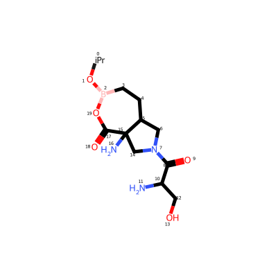 CC(C)OB1CCC2CN(C(=O)C(N)CO)CC2(N)C(=O)O1